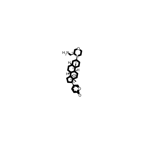 C[C@]12CC[C@H](N3CCOC[C@@H]3CN)C[C@H]1CC[C@@H]1[C@@H]2CC[C@]2(C)[C@@H](c3ccc(=O)oc3)CC[C@]12O